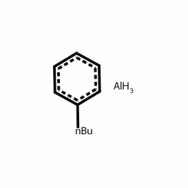 [AlH3].[CH2]CCCc1ccccc1